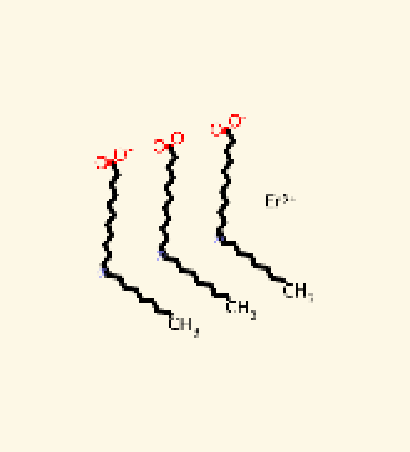 CCCCCCCC/C=C\CCCCCCCCCC(=O)[O-].CCCCCCCC/C=C\CCCCCCCCCC(=O)[O-].CCCCCCCC/C=C\CCCCCCCCCC(=O)[O-].[Er+3]